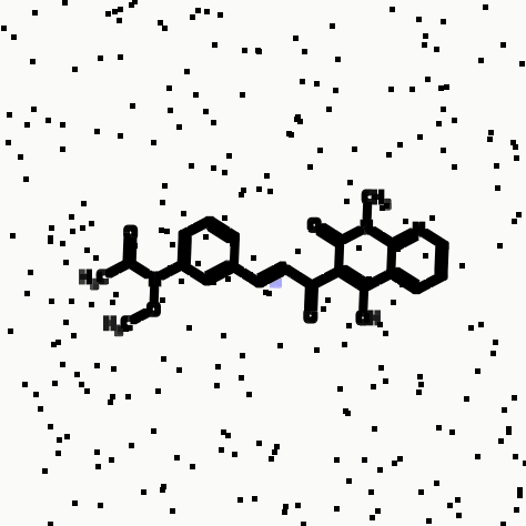 CON(C(C)=O)c1cccc(/C=C/C(=O)c2c(O)c3cccnc3n(C)c2=O)c1